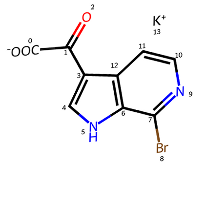 O=C([O-])C(=O)c1c[nH]c2c(Br)nccc12.[K+]